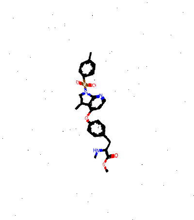 CNC(Cc1ccc(Oc2ccnc3c2C(C)CN3S(=O)(=O)c2ccc(C)cc2)cc1)C(=O)OC